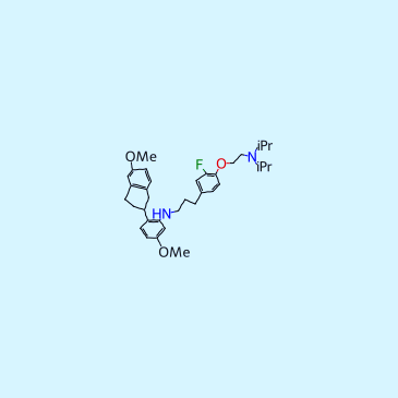 COc1ccc2c(c1)CCC(c1ccc(OC)cc1NCCCc1ccc(OCCN(C(C)C)C(C)C)c(F)c1)C2